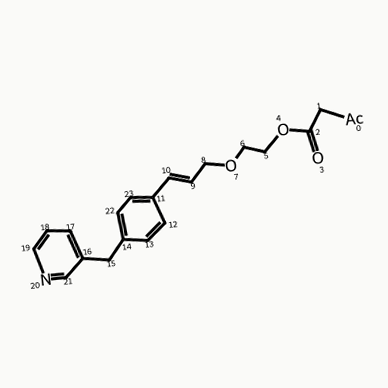 CC(=O)CC(=O)OCCOCC=Cc1ccc(Cc2cccnc2)cc1